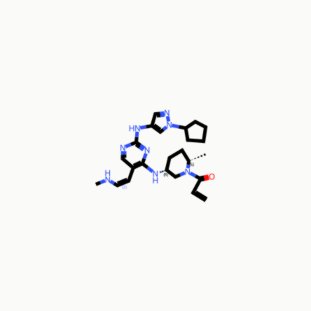 C=CC(=O)N1C[C@H](Nc2nc(Nc3cnn(C4CCCC4)c3)ncc2/C=C\NC)CC[C@@H]1C